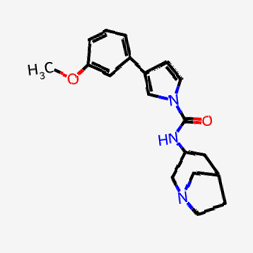 COc1cccc(-c2ccn(C(=O)NC3CC4CCN(C4)C3)c2)c1